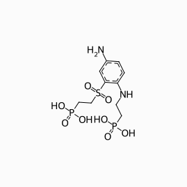 Nc1ccc(NCCP(=O)(O)O)c(S(=O)(=O)CCP(=O)(O)O)c1